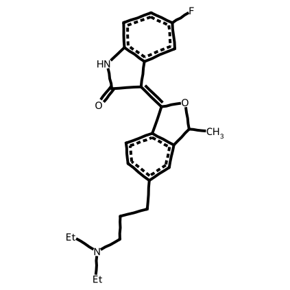 CCN(CC)CCCc1ccc2c(c1)C(C)OC2=C1C(=O)Nc2ccc(F)cc21